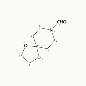 O=[C]N1CCC2(CC1)OCCO2